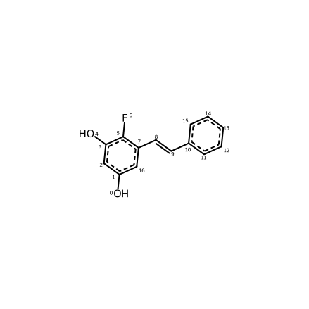 Oc1cc(O)c(F)c(/C=C/c2ccccc2)c1